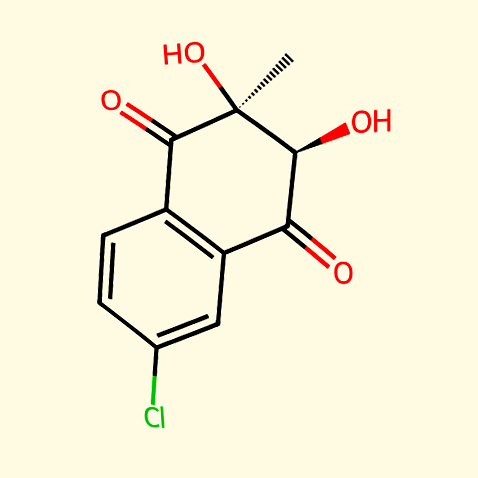 C[C@@]1(O)C(=O)c2ccc(Cl)cc2C(=O)[C@@H]1O